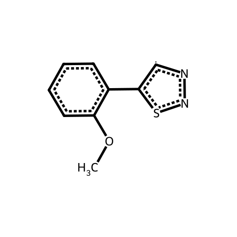 COc1ccccc1-c1[c]nns1